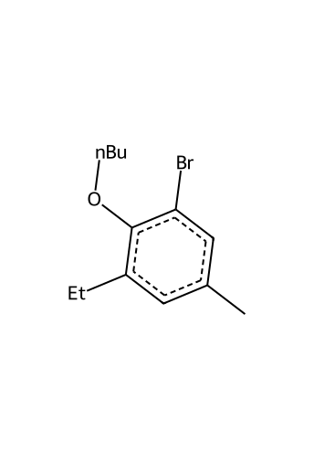 CCCCOc1c(Br)cc(C)cc1CC